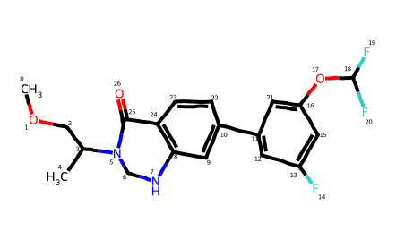 COCC(C)N1CNc2cc(-c3cc(F)cc(OC(F)F)c3)ccc2C1=O